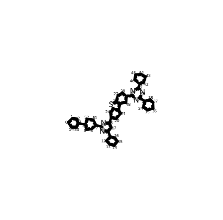 c1ccc(-c2ccc(-c3nc(-c4ccccc4)cc(-c4ccc5c(c4)sc4ccc(-c6nc(-c7ccccc7)nc(-c7ccccc7)n6)cc45)n3)cc2)cc1